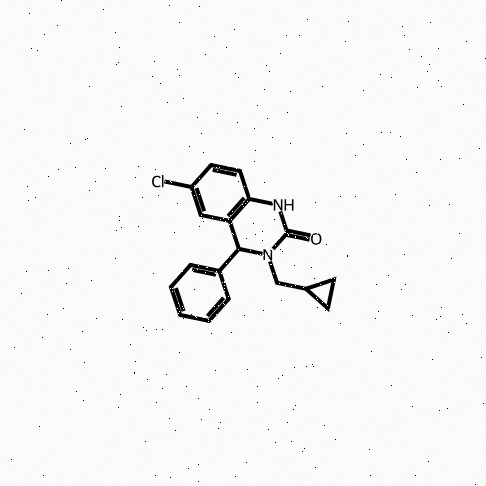 O=C1Nc2ccc(Cl)cc2C(c2ccccc2)N1CC1CC1